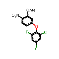 COc1cc(Oc2c(F)cc(Cl)cc2Cl)ccc1[N+](=O)[O-]